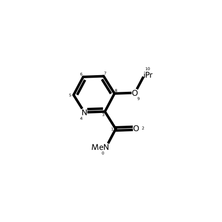 CNC(=O)c1ncccc1OC(C)C